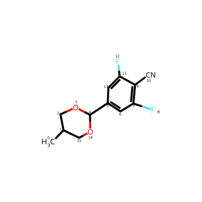 CC1COC(c2cc(F)c(C#N)c(F)c2)OC1